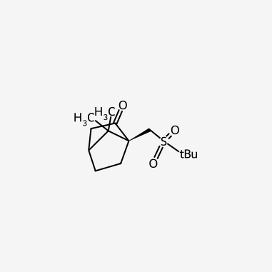 CC1(C)C2CC[C@@]1(CS(=O)(=O)C(C)(C)C)C(=O)C2